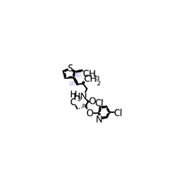 C=C(/C=c1/ccs/c1=C/C)CNC(=O)[C@@H](CC)Oc1ncc(Cl)cc1Cl